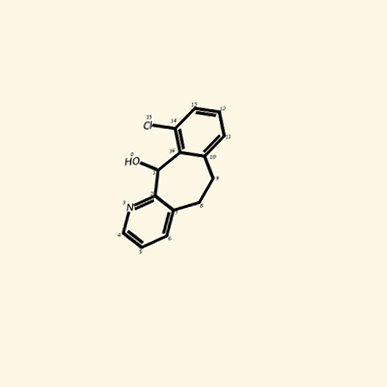 OC1c2ncccc2CCc2cccc(Cl)c21